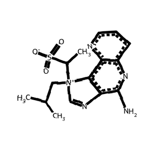 CC(C)C[N+]1(C(C)S(=O)(=O)[O-])C=Nc2c(N)nc3cccnc3c21